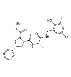 C[C@H](NC(=O)[C@H]1C[C@H](c2ccccc2)CN1C(=O)OC(C)(C)C)C(=O)NCc1cc(Cl)cc(Cl)c1O